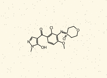 COc1ccc(C(=O)c2cnn(C)c2O)c(Cl)c1N=S1(=O)CCOCC1